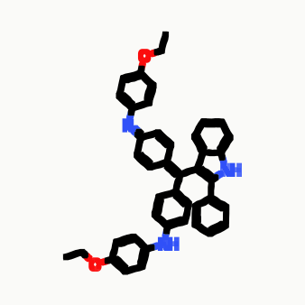 CCOc1ccc(N=C2C=CC(=C(c3ccc(Nc4ccc(OCC)cc4)cc3)c3c(-c4ccccc4)[nH]c4ccccc34)C=C2)cc1